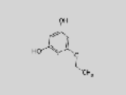 CCOc1[c]c(O)cc(O)c1